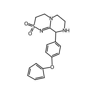 O=S1(=O)CCN2CCNC(c3ccc(Oc4ccccc4)cc3)C2=N1